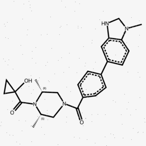 C[C@@H]1CN(C(=O)c2ccc(-c3ccc4c(c3)NCN4C)cc2)C[C@H](C)N1C(=O)C1(O)CC1